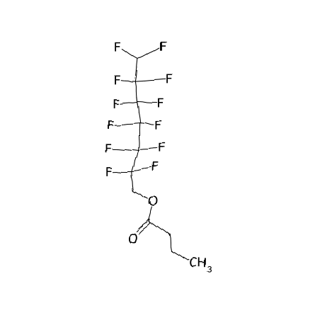 CCCC(=O)OCC(F)(F)C(F)(F)C(F)(F)C(F)(F)C(F)(F)C(F)F